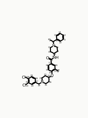 O=C(NC1CCN(C(I)c2ccccc2)CC1)c1ccc(OC2CCN(Cc3ccc(Cl)c(Cl)c3)CC2)c(F)c1